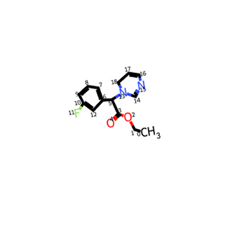 CCOC(=O)C(c1cccc(F)c1)N1C=NC=CC1